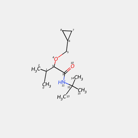 CC(C)C(OCC1CC1)C(=O)NC(C)(C)C